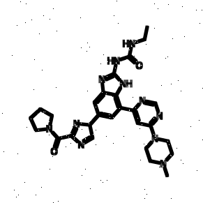 CCNC(=O)Nc1nc2cc(C3C=NC(C(=O)N4CCCC4)=N3)cc(-c3cc(N4CCN(C)CC4)ncn3)c2[nH]1